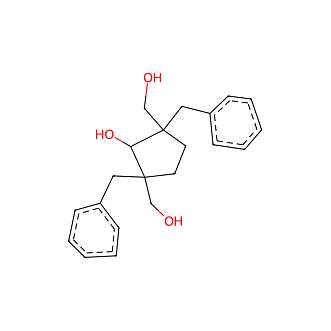 OCC1(Cc2ccccc2)CCC(CO)(Cc2ccccc2)C1O